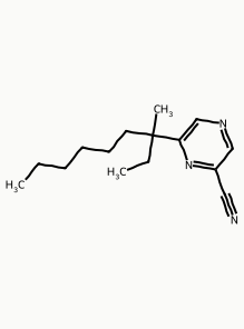 CCCCCCC(C)(CC)c1cncc(C#N)n1